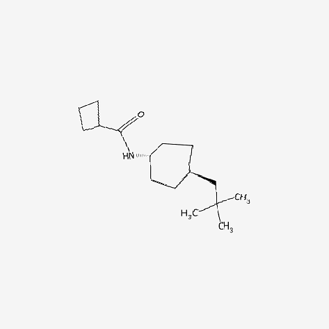 CC(C)(C)C[C@H]1CC[C@H](NC(=O)C2CCC2)CC1